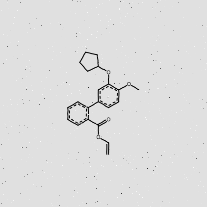 C=COC(=O)c1ccccc1-c1ccc(OC)c(OC2CCCC2)c1